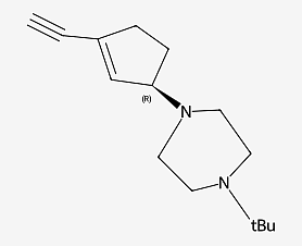 C#CC1=C[C@H](N2CCN(C(C)(C)C)CC2)CC1